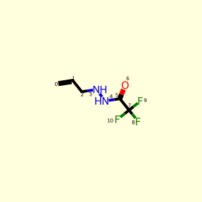 C=CCNNC(=O)C(F)(F)F